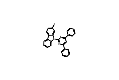 Ic1ccc2c3ccccc3n(-c3nc(-c4ccccc4)cc(-c4ccccc4)n3)c2c1